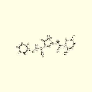 Cc1ccc(Cl)c(C(=O)Nc2cc(C(=O)NCc3ccccc3)n[nH]2)c1